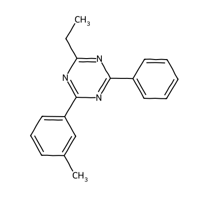 CCc1nc(-c2ccccc2)nc(-c2cccc(C)c2)n1